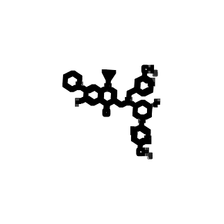 Cc1cnc(N2C[C@@H](F)C[C@H](N(Cc3ccnc(C)c3)Cc3cn(C4CC4)c4cc(N5CCCCC5)c(F)cc4c3=O)C2)cn1